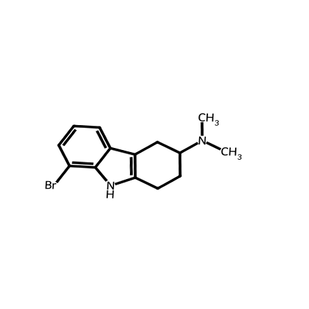 CN(C)C1CCc2[nH]c3c(Br)cccc3c2C1